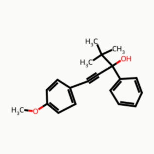 COc1ccc(C#CC(O)(c2ccccc2)C(C)(C)C)cc1